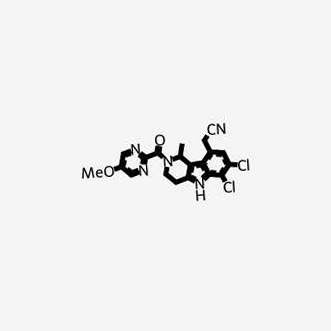 COc1cnc(C(=O)N2CCc3[nH]c4c(Cl)c(Cl)cc(CC#N)c4c3C2C)nc1